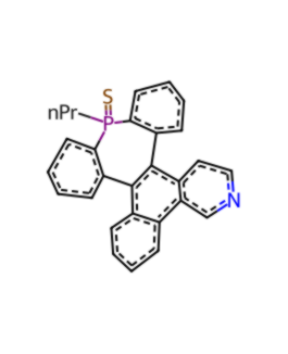 CCCP1(=S)c2ccccc2-c2c(c3ccncc3c3ccccc23)-c2ccccc21